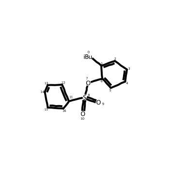 CCC(C)c1ccccc1OS(=O)(=O)c1ccccc1